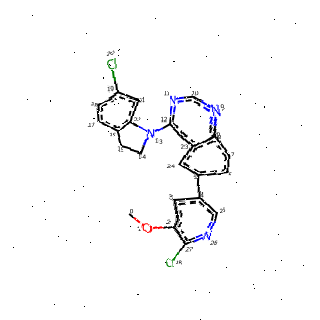 COc1cc(-c2ccc3ncnc(N4CCc5ccc(Cl)cc54)c3c2)cnc1Cl